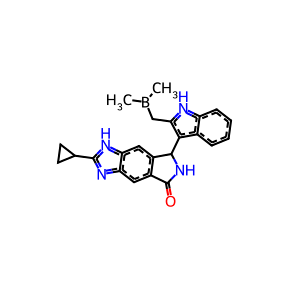 CB(C)Cc1[nH]c2ccccc2c1C1NC(=O)c2cc3nc(C4CC4)[nH]c3cc21